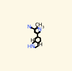 Cc1ncc(C2=C[C@H]3CNCC[C@H]3CC2)cc1C#N